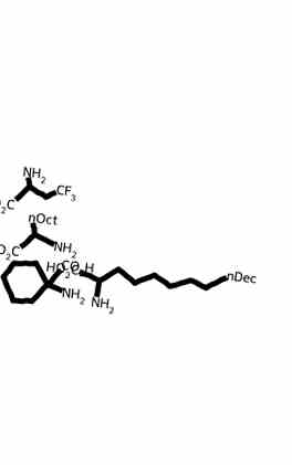 CCCCCCCCC(N)C(=O)O.CCCCCCCCCCCCCCCCC(N)C(=O)O.NC(CC(F)(F)F)C(=O)O.NC1(C(=O)O)CCCCC1